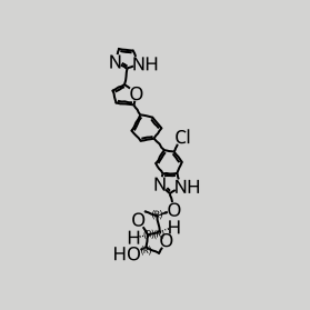 O[C@@H]1CO[C@H]2[C@@H]1OC[C@H]2Oc1nc2cc(-c3ccc(-c4ccc(-c5ncc[nH]5)o4)cc3)c(Cl)cc2[nH]1